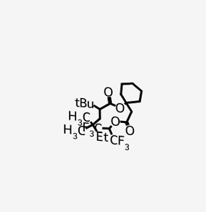 CCC(C)(C)CC(C(=O)OC1(CC(=O)OC(C(F)(F)F)C(F)(F)F)CCCCC1)C(C)(C)C